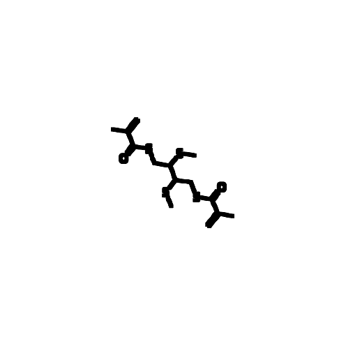 C=C(C)C(=O)SCC(SC)C(CSC(=O)C(=C)C)SC